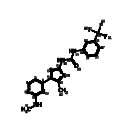 CNc1nccc(-c2sc(NC(=O)Nc3cccc(C(F)(F)F)c3)nc2C)n1